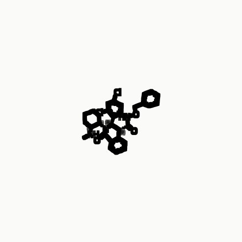 CN[C@H]1CCCC[C@@H]1N1C(=O)c2ccccc2[C@@H](C(=O)NOCc2ccccc2)[C@@H]1c1ccc(Cl)cc1Cl